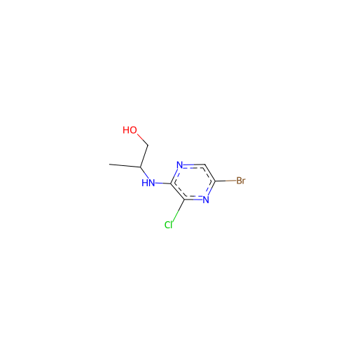 CC(CO)Nc1ncc(Br)nc1Cl